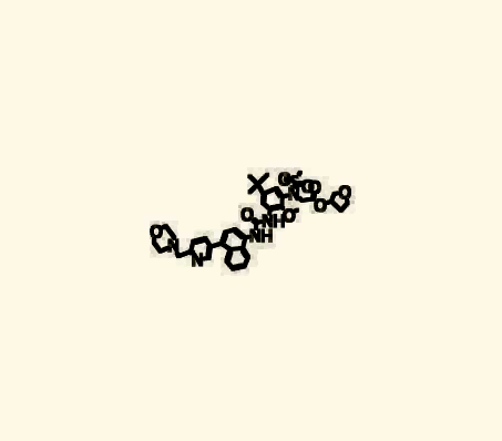 COc1c(NC(=O)Nc2ccc(-c3ccc(CN4CCOCC4)nc3)c3ccccc23)cc(C(C)(C)C)cc1N(CC(=O)OC1CCOC1)S(C)(=O)=O